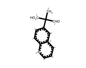 CC(C=O)(C(=O)O)c1ccc2ncccc2c1